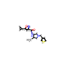 CC1CN(Cc2ccsc2)CC1NC(=O)c1cc(C2CC2)on1